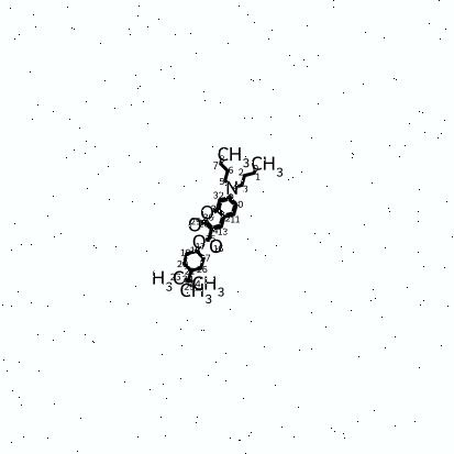 CCCCN(CCCC)c1ccc2cc(C(=O)OC3CCC(C(C)(C)C)CC3)c(=O)oc2c1